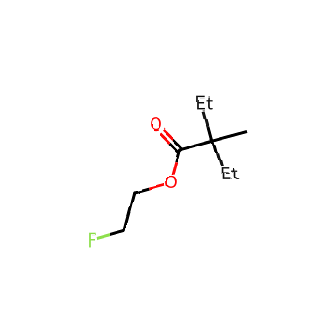 CCC(C)(CC)C(=O)OCCF